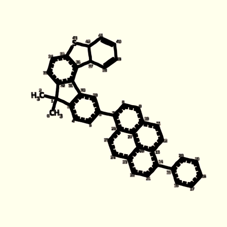 CC1(C)c2ccc(-c3ccc4ccc5c(-c6ccccc6)ccc6ccc3c4c65)cc2-c2c1ccc1c2C2C=CC=CC2S1